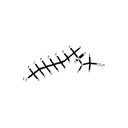 O=C(O)C(F)(F)N(F)S(=O)(=O)C(F)(F)C(F)(F)C(F)(F)C(F)(F)C(F)(F)C(F)(F)C(F)(F)C(F)(F)F